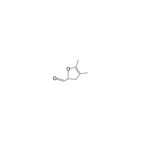 CC1=C(C)OC(C=O)C1